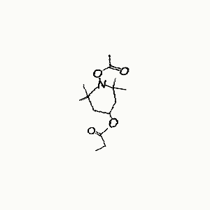 CCC(=O)OC1CC(C)(C)N(OC(C)=O)C(C)(C)C1